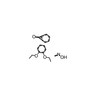 C=NO.CCOc1ccccc1OCC.O=c1c2ccccc12